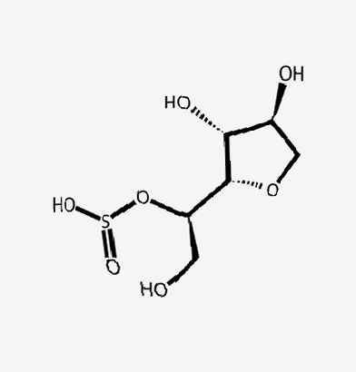 O=S(O)O[C@H](CO)[C@H]1OC[C@H](O)[C@H]1O